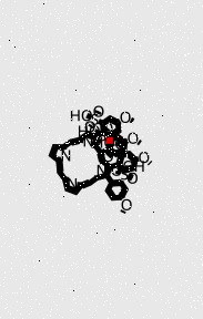 COc1ccc(C2=CC3=CC4=NC(=CC5=NC(=CC6=NC(=C(c7ccc(OC)cc7S(=O)(=O)O)C2=N3)C(c2ccc(OC)cc2S(=O)(=O)O)=C6c2ccc(OC)cc2S(=O)(=O)O)C=C5)C=C4)c(S(=O)(=O)O)c1